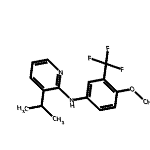 COc1ccc(Nc2ncccc2C(C)C)cc1C(F)(F)F